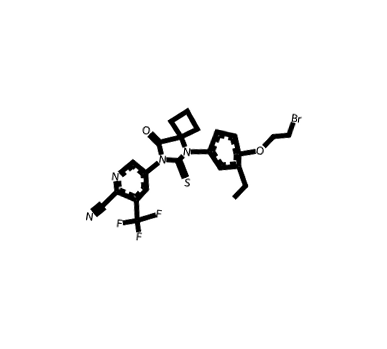 CCc1cc(N2C(=S)N(c3cnc(C#N)c(C(F)(F)F)c3)C(=O)C23CCC3)ccc1OCCBr